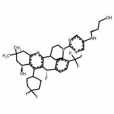 CC1(C)Cc2nc(C3CCN(c4ncc(NCCCO)cn4)CC3)c([C@@H](F)c3ccc(C(F)(F)F)cc3)c(C3CCC(F)(F)CC3)c2[C@@H](O)C1